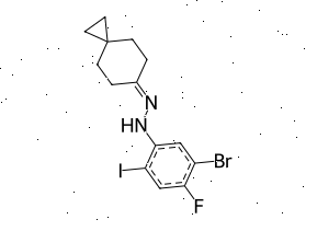 Fc1cc(I)c(NN=C2CCC3(CC2)CC3)cc1Br